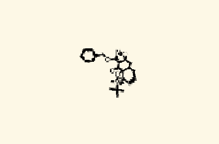 CC(C)(C)[Si](C)(C)OC12C(=O)C=CCC1Cc1onc(OCc3ccccc3)c1C2=O